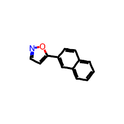 c1ccc2cc(-c3ccno3)ccc2c1